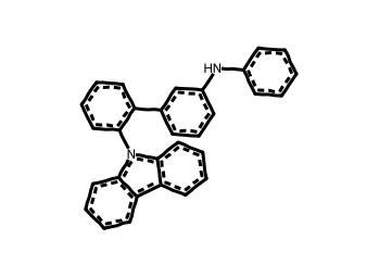 c1ccc(Nc2cccc(-c3ccccc3-n3c4ccccc4c4ccccc43)c2)cc1